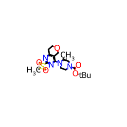 C[C@H]1CN(C(=O)OC(C)(C)C)CCN1c1nc(S(C)(=O)=O)nc2c1COCC2